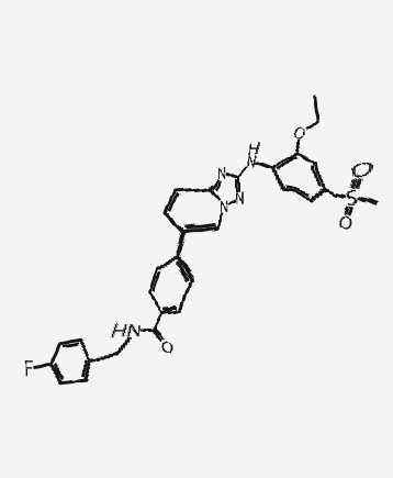 CCOc1cc(S(C)(=O)=O)ccc1Nc1nc2ccc(-c3ccc(C(=O)NCc4ccc(F)cc4)cc3)cn2n1